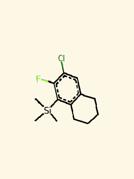 C[Si](C)(C)c1c(F)c(Cl)cc2c1CCCC2